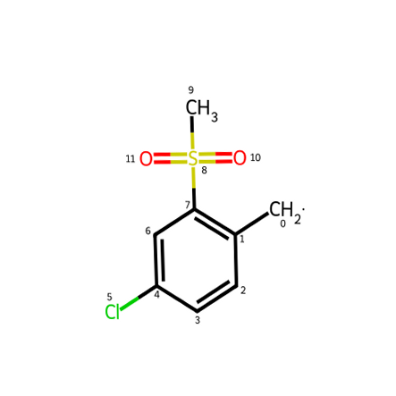 [CH2]c1ccc(Cl)cc1S(C)(=O)=O